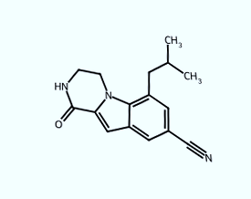 CC(C)Cc1cc(C#N)cc2cc3n(c12)CCNC3=O